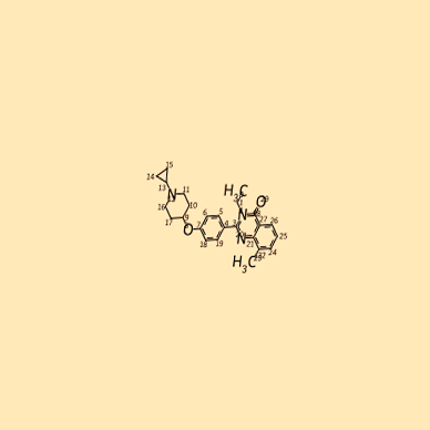 CCn1c(-c2ccc(OC3CCN(C4CC4)CC3)cc2)nc2c(C)cccc2c1=O